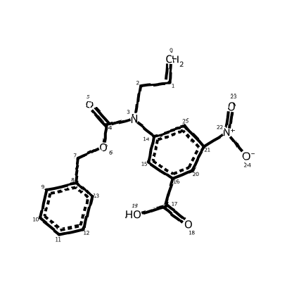 C=CCN(C(=O)OCc1ccccc1)c1cc(C(=O)O)cc([N+](=O)[O-])c1